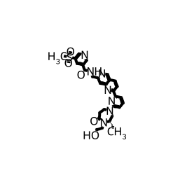 CC[C@H]1CN(c2cccc(-c3ccc4cnc(CNC(=O)c5cncc(S(C)(=O)=O)c5)cc4n3)n2)CCC(=O)N1CCO